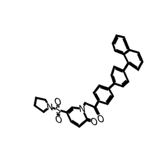 O=C(Cn1cc(S(=O)(=O)N2CCCC2)ccc1=O)c1ccc(-c2ccc(-c3cccc4ccccc34)cc2)cc1